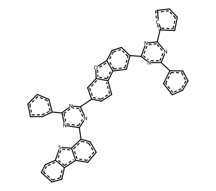 c1ccc(-c2nc(-c3ccccc3)nc(-c3ccc4oc5cc(-c6nc(-c7ccccc7)nc(-c7cccc8c7sc7ccccc78)n6)ccc5c4c3)n2)cc1